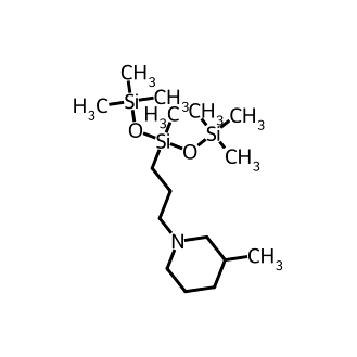 CC1CCCN(CCC[Si](C)(O[Si](C)(C)C)O[Si](C)(C)C)C1